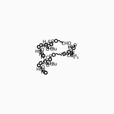 Cc1c(OC2CCC(CCCC=O)CC2)cccc1-c1ccc(N2CCc3cccc(C(=O)Nc4nc5ccccc5s4)c3C2)nc1C(=O)OC(C)(C)C.Cc1c(OC2CCC(CCCCN3CCN(c4ccc5c(C6CCC(=O)NC6=O)nn(C)c5c4C)CC3)CC2)cccc1-c1ccc(N2CCc3cccc(C(=O)Nc4nc5ccccc5s4)c3C2)nc1C(=O)OC(C)(C)C